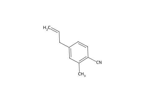 C=CCc1ccc(C#N)c(C)c1